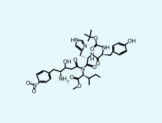 CCC(C)[C@@H](C(=O)OC)N(C(=O)CC(O)[C@@H](N)Cc1ccc([N+](=O)[O-])cc1)C(=O)[C@H](Cc1c[nH]cn1)NC(=O)[C@H](Cc1ccc(O)cc1)NC(=O)OC(C)(C)C